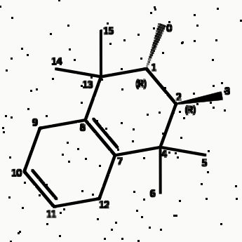 C[C@@H]1[C@@H](C)C(C)(C)C2=C(CC=CC2)C1(C)C